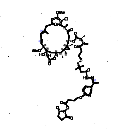 COc1cc2cc(c1Cl)N(C)C(=O)C[C@H](OC(=O)[C@H](C)N(C)C(=O)CCSSC(C)(C)CC(=O)N/N=C(/C)c1ccc(OCCCC(=O)ON3C(=O)CCC3=O)nc1)[C@@]1(C)C[C@H]1[C@H](C)[C@@H]1C[C@@](O)(NC(=O)O1)[C@H](OC)/C=C/C=C(\C)C2